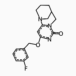 O=c1nc(OCc2cccc(F)c2)cc2n1CC1CCCN2C1